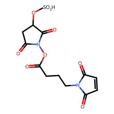 O=C(CCCN1C(=O)C=CC1=O)ON1C(=O)CC(OS(=O)(=O)O)C1=O